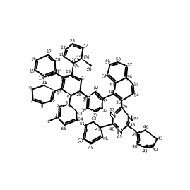 CC1=CC(C2C(C3=CC=CCC3)=C(c3ccccc3)C([C@H]3C=CC=C[C@H]3C)=CC2c2cccc(-c3c(-c4nc(C5=CC=CCC5)nc(C5C=CC=CC5)n4)ccc4ccccc34)c2)CC=C1